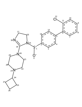 [O-][S+](c1ccc(-c2ccccc2Cl)cc1)N1CCN=C1N1CCN(C2CCC2)CC1